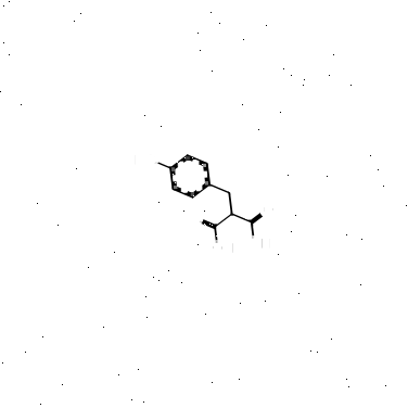 O=C(O)C(Cc1ccc(O)cc1)C(=O)O